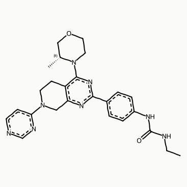 CCNC(=O)Nc1ccc(-c2nc3c(c(N4CCOC[C@H]4C)n2)CCN(c2ccncn2)C3)cc1